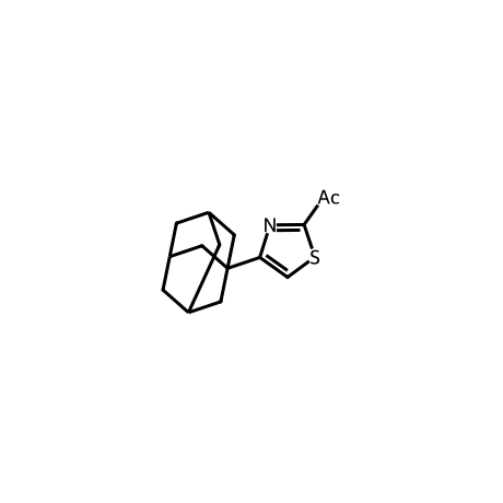 CC(=O)c1nc(C23CC4CC(CC(C4)C2)C3)cs1